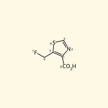 O=C(O)c1ncsc1CF